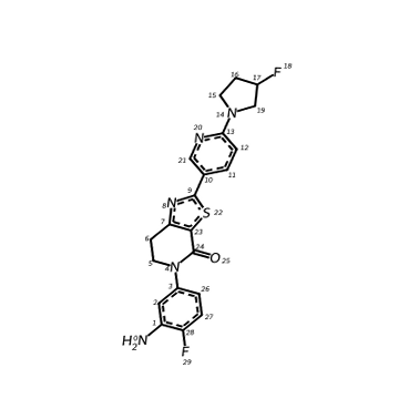 Nc1cc(N2CCc3nc(-c4ccc(N5CCC(F)C5)nc4)sc3C2=O)ccc1F